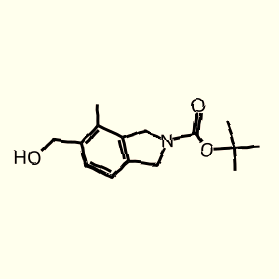 Cc1c(CO)ccc2c1CN(C(=O)OC(C)(C)C)C2